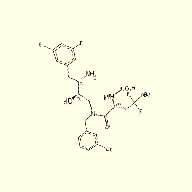 CCCCC(F)(F)C[C@@H](NC(=O)O)C(=O)N(Cc1cccc(CC)c1)C[C@@H](O)[C@@H](N)Cc1cc(F)cc(F)c1